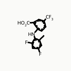 Cc1cc(F)cc(F)c1Nc1ccc(C(F)(F)F)cc1C(=O)O